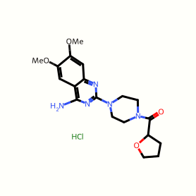 COc1cc2nc(N3CCN(C(=O)C4CCCO4)CC3)nc(N)c2cc1OC.Cl